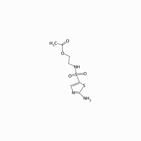 CC(=O)OCCNS(=O)(=O)c1cnc(N)s1